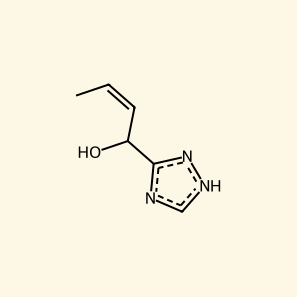 C/C=C\C(O)c1nc[nH]n1